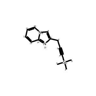 C[Si](C)(C)C#CCc1cn2ccccc2n1